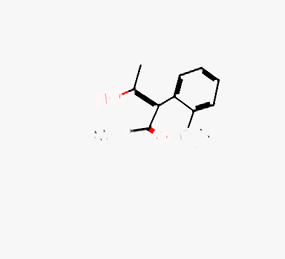 COC(=O)/C(=C(/C)O)c1ccccc1[N+](=O)[O-]